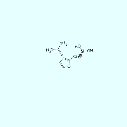 NC(N)=S.O=Cc1ccco1.O=[Si](O)O